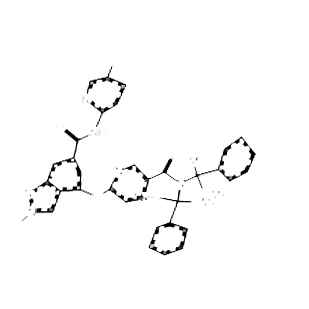 CCn1cc2c(Oc3cnc(C(=O)N(C(OC)(OC)c4ccccc4)C(OC)(OC)c4ccccc4)cn3)cc(C(=O)Nc3ccc(C)cn3)cc2n1